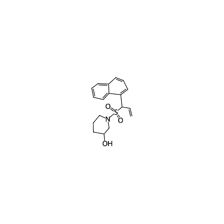 C=CC(c1cccc2ccccc12)S(=O)(=O)N1CCCC(O)C1